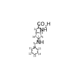 O=C(O)c1cc2c([nH]1)C[C@H](NCc1ccccc1)C2